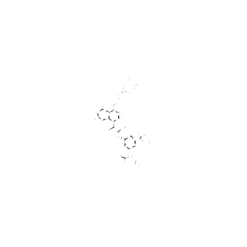 CON(C(=O)O)c1cc(NC(=O)C(=O)c2ccc(OCCN3CCOCC3)c3ccccc23)cc(C(C)(C)C)c1